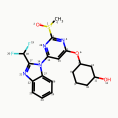 C[S+]([O-])c1nc(OC2CCCC(O)C2)cc(-n2c(C(F)F)nc3ccccc32)n1